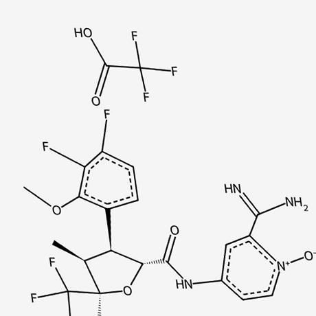 COc1c([C@H]2[C@H](C(=O)Nc3cc[n+]([O-])c(C(=N)N)c3)O[C@@](C)(C(F)(F)F)[C@H]2C)ccc(F)c1F.O=C(O)C(F)(F)F